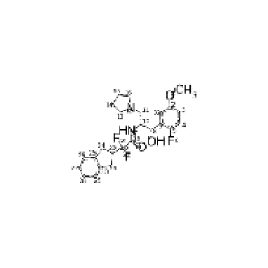 COc1ccc(F)c([C@H](O)[C@@H](CN2CCCC2)NC(=O)C(F)(F)C2Cc3ccccc3C2)c1